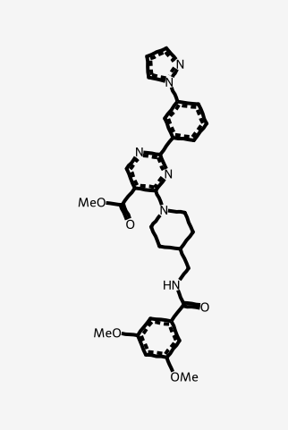 COC(=O)c1cnc(-c2cccc(-n3cccn3)c2)nc1N1CCC(CNC(=O)c2cc(OC)cc(OC)c2)CC1